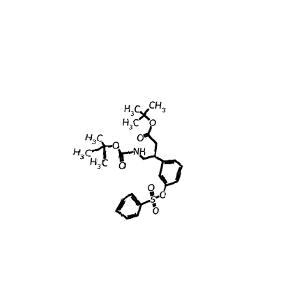 CC(C)(C)OC(=O)CC(CNC(=O)OC(C)(C)C)c1cccc(OS(=O)(=O)c2ccccc2)c1